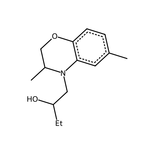 CCC(O)CN1c2cc(C)ccc2OCC1C